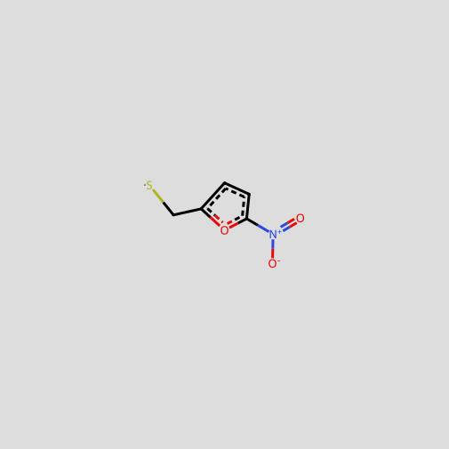 O=[N+]([O-])c1ccc(C[S])o1